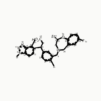 CC[C@@H]1CN(Cc2cc(C(CC(=O)O)c3ccc4c(nnn4C)c3C)ccc2C)Cc2cc(F)ccc2O1